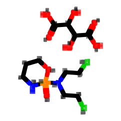 O=C(O)C(O)C(O)C(=O)O.O=P1(N(CCCl)CCCl)NCCCO1